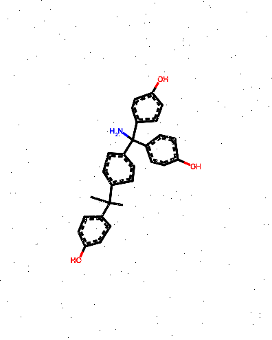 CC(C)(c1ccc(O)cc1)c1ccc(C(N)(c2ccc(O)cc2)c2ccc(O)cc2)cc1